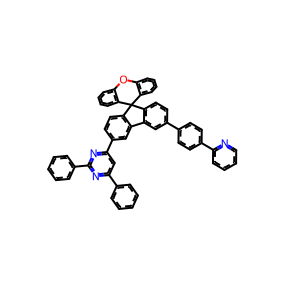 c1ccc(-c2cc(-c3ccc4c(c3)-c3cc(-c5ccc(-c6ccccn6)cc5)ccc3C43c4ccccc4Oc4ccccc43)nc(-c3ccccc3)n2)cc1